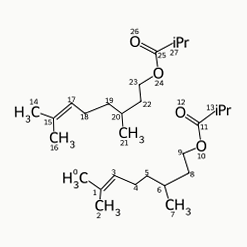 CC(C)=CCCC(C)CCOC(=O)C(C)C.CC(C)=CCCC(C)CCOC(=O)C(C)C